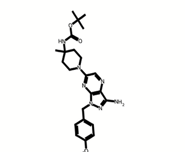 COc1ccc(Cn2nc(N)c3ncc(N4CCC(C)(NC(=O)OC(C)(C)C)CC4)nc32)cc1